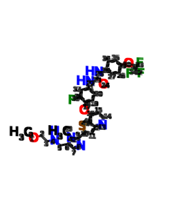 COCCNCc1cnc(-c2cc3nccc(Oc4ccc(NC(=O)Nc5ccc(OC(F)(F)F)cc5)cc4F)c3s2)n1C